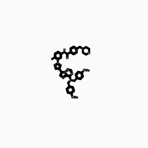 COc1ccc(CN(Cc2ccc(OC)cc2)c2ncnn3c(-c4cnn(-c5cc(NC(=O)c6ccc(CN7CCOCC7)cc6)ccc5C)c4)cnc23)cc1